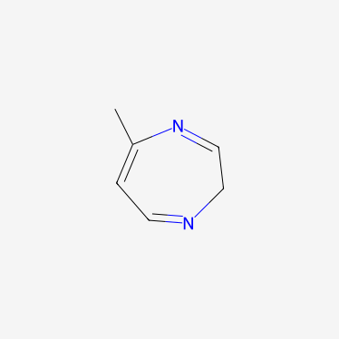 CC1=CC=NCC=N1